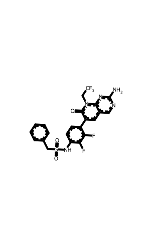 Nc1ncc2cc(-c3ccc(NS(=O)(=O)Cc4ccccc4)c(F)c3F)c(=O)n(CC(F)(F)F)c2n1